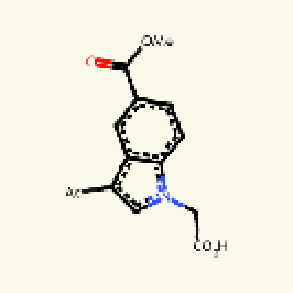 COC(=O)c1ccc2c(c1)c(C(C)=O)cn2CC(=O)O